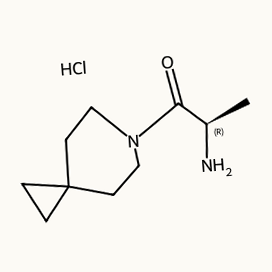 C[C@@H](N)C(=O)N1CCC2(CC1)CC2.Cl